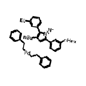 CCCCCCc1cccc(C2=CC(CCCC)=C(c3cccc(CC)c3)[N+]2=[N-])c1.c1ccc(C[CH2][Pd][CH2]Cc2ccccc2)cc1